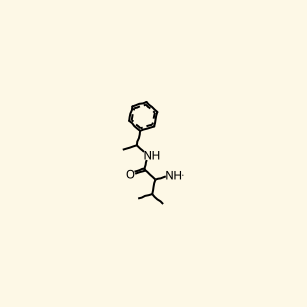 CC(NC(=O)C([NH])C(C)C)c1ccccc1